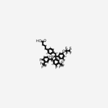 O=C(O)CCCc1ccc(CC(NC(=O)c2ccc(F)c(C(F)(F)F)c2)(c2cc(F)cc(OC(F)(F)C(F)F)c2)c2ccc(F)c(C(F)(F)F)c2)cc1